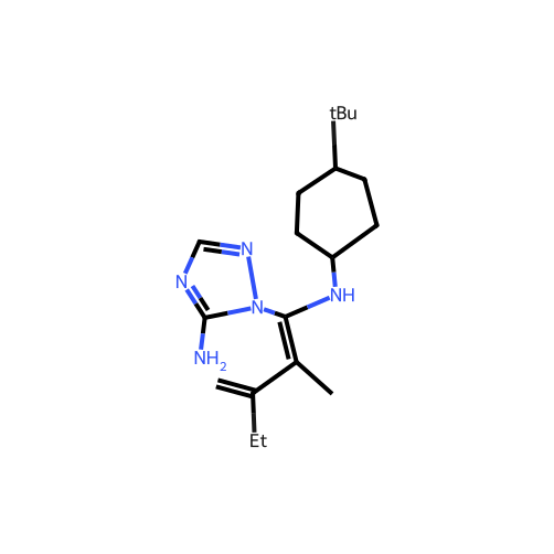 C=C(CC)/C(C)=C(/NC1CCC(C(C)(C)C)CC1)n1ncnc1N